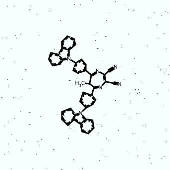 CC1C(c2ccc(-n3c4ccccc4c4ccccc43)cc2)=NC(C#N)=C(C#N)N=C1c1ccc(-n2c3ccccc3c3ccccc32)cc1